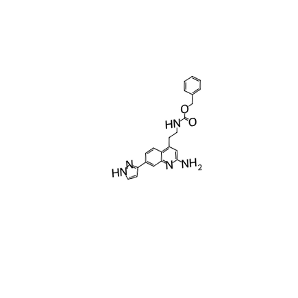 Nc1cc(CCNC(=O)OCc2ccccc2)c2ccc(-c3cc[nH]n3)cc2n1